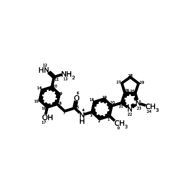 Cc1cc(NC(=O)Cc2cc(C(=N)N)ccc2O)ccc1-c1nn(C)c2c1CCC2